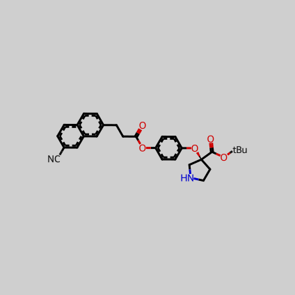 CC(C)(C)OC(=O)[C@]1(Oc2ccc(OC(=O)CCc3ccc4ccc(C#N)cc4c3)cc2)CCNC1